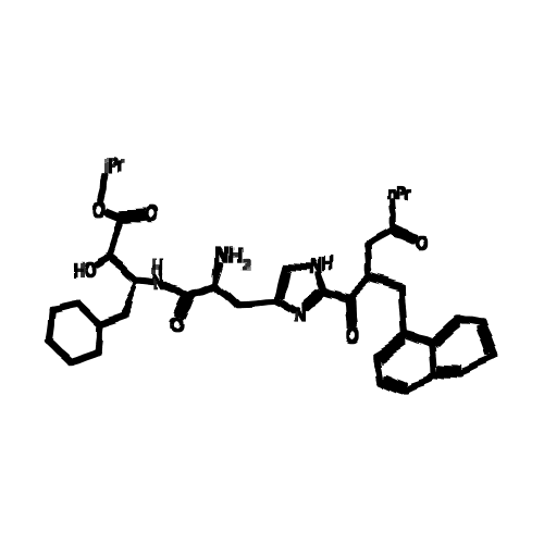 CCCC(=O)CC(Cc1cccc2ccccc12)C(=O)c1nc(C[C@H](N)C(=O)N[C@@H](CC2CCCCC2)C(O)C(=O)OC(C)C)c[nH]1